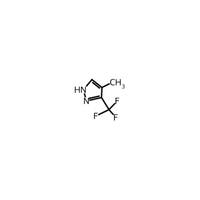 Cc1c[nH]nc1C(F)(F)F